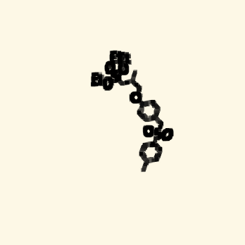 CCO[Si](CC(C)COc1ccc(CS(=O)(=O)c2ccc(C)cc2)cc1)(OCC)OCC